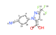 N#Cc1ccc(-n2nc(C(F)(F)F)cc2C(=O)O)cc1